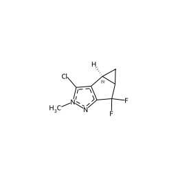 Cn1nc2c(c1Cl)[C@H]1CC1C2(F)F